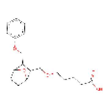 O=C(O)CCCCOCC1C2CCC(O2)C1COc1ccccc1